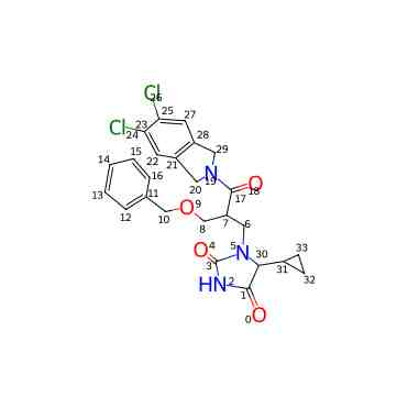 O=C1NC(=O)N(CC(COCc2ccccc2)C(=O)N2Cc3cc(Cl)c(Cl)cc3C2)C1C1CC1